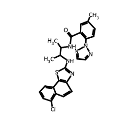 Cc1ccc(-n2nccn2)c(C(=O)NC(C)C(C)Nc2nc3ccc4c(Cl)cccc4c3s2)c1